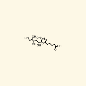 O=C(O)CCCCC(=O)OC(O)[C@H](O)[C@@H](O)[C@H](O)[C@H](O)CO